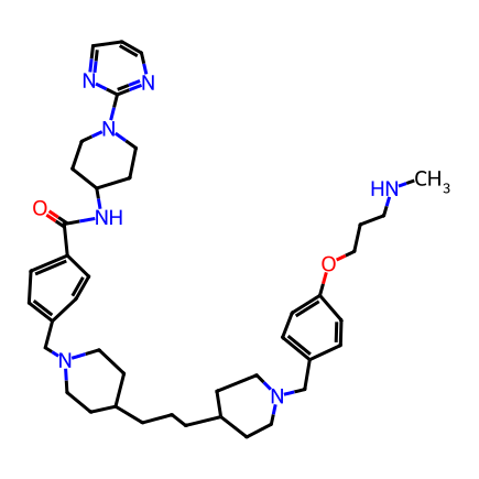 CNCCCOc1ccc(CN2CCC(CCCC3CCN(Cc4ccc(C(=O)NC5CCN(c6ncccn6)CC5)cc4)CC3)CC2)cc1